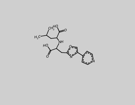 CC(C)CC(NC(Cc1nc(-c2ccncc2)co1)C(=O)O)C(=O)O